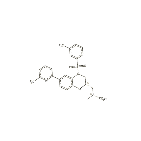 C[C@H](C[C@H]1CN(S(=O)(=O)c2cccc(C(F)(F)F)c2)c2cc(-c3cccc(C(F)(F)F)n3)ccc2O1)C(=O)O